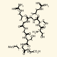 CSCC[C@H](NC(=O)[C@H](CO)NC(=O)CNC(=O)[C@H](CCCNC(=N)N)NC(=O)[C@H](CCCNC(=N)N)NC(=O)[C@H](CC(C)C)NC(=O)[C@@H](N)CO)C(=O)NCC(=O)O